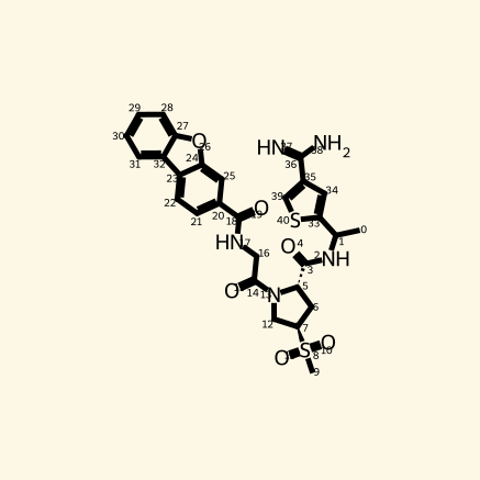 CC(NC(=O)[C@@H]1C[C@@H](S(C)(=O)=O)CN1C(=O)CNC(=O)c1ccc2c(c1)oc1ccccc12)c1cc(C(=N)N)cs1